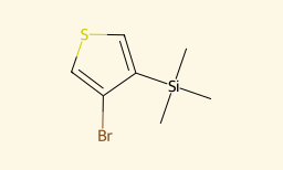 C[Si](C)(C)c1cscc1Br